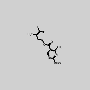 CCCCCCc1ncc(C(=O)OCCC(C)=C(F)F)c(C)n1